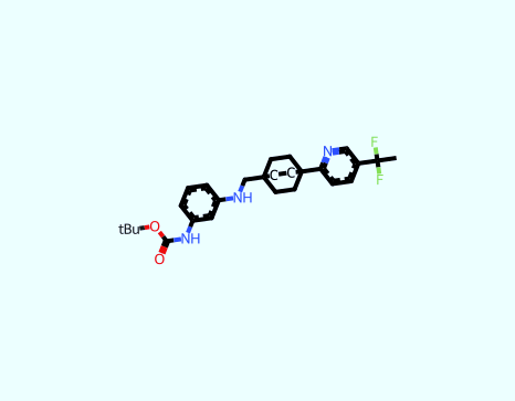 CC(C)(C)OC(=O)Nc1cccc(NCC23CCC(c4ccc(C(C)(F)F)cn4)(CC2)CC3)c1